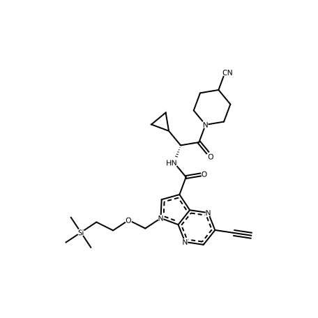 C#Cc1cnc2c(n1)c(C(=O)N[C@@H](C(=O)N1CCC(C#N)CC1)C1CC1)cn2COCC[Si](C)(C)C